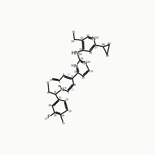 C=C/C=C(\C=C/N(C)C(CC)c1ccc(C)c(F)c1)c1ccnc(Nc2cc(C3CC3)ncc2CC)n1